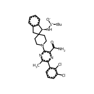 Cc1nc(N2CCC3(CC2)Cc2ccccc2[C@H]3N[S+]([O-])C(C)(C)C)c(C(N)=O)nc1-c1cccc(Cl)c1Cl